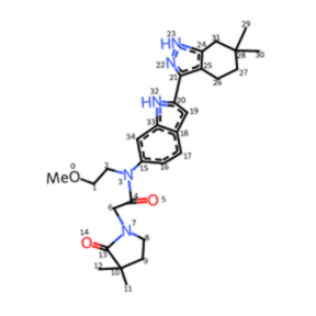 COCCN(C(=O)CN1CCC(C)(C)C1=O)c1ccc2cc(-c3n[nH]c4c3CCC(C)(C)C4)[nH]c2c1